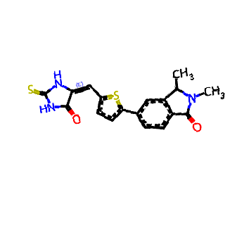 CC1c2cc(-c3ccc(/C=C4/NC(=S)NC4=O)s3)ccc2C(=O)N1C